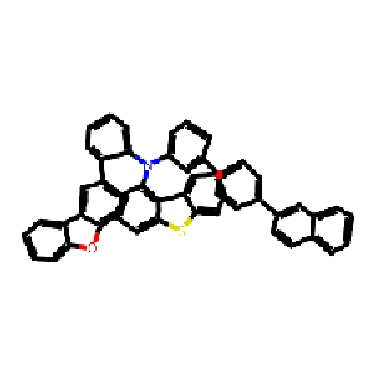 c1cc(-c2ccc(-c3ccc4ccccc4c3)cc2)cc(N(c2ccccc2-c2ccc3oc4ccccc4c3c2)c2cccc3sc4ccccc4c23)c1